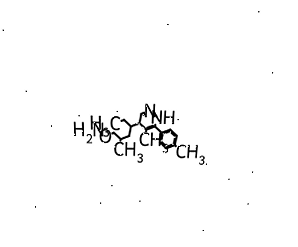 CCC(CC(C)CON)C1C=NNC(c2ccc(C)cc2)=C1C